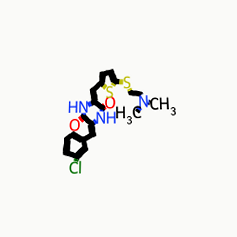 CN(C)CCSc1ccc(C=c2[nH]c(=O)c(=Cc3cccc(Cl)c3)[nH]c2=O)s1